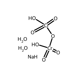 O.O.[NaH].[O]=[Cr](=[O])([OH])[O][Cr](=[O])(=[O])[OH]